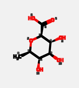 C[C@H]1O[C@@H](C(=O)O)[C@H](O)[C@@H](O)[C@@H]1O